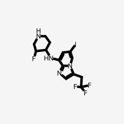 FC1CNCCC1Nc1cc(I)cn2c(CC(F)(F)F)cnc12